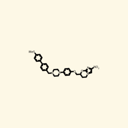 CSc1ccc(-c2ccc(CN3CCN(c4ccc(OCC5CCn6cc([N+](=O)[O-])nc6O5)cc4)CC3)cc2)cc1